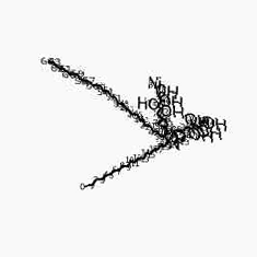 CCCCCCCCCCCCCCCCCCC=CC(=Nc1ccc(CC(O)C(O)C(O)CO)cc1)C(CCCCCCCCCCCCCCCCCCCCCCCCCCC)=Nc1ccc(CC(O)C(O)C(O)CO)cc1.[Ni]